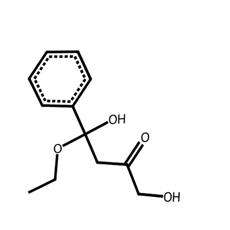 CCOC(O)(CC(=O)CO)c1ccccc1